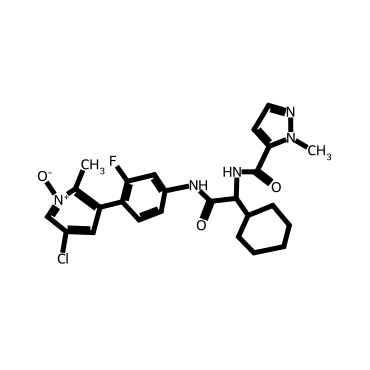 Cc1c(-c2ccc(NC(=O)C(NC(=O)c3ccnn3C)C3CCCCC3)cc2F)cc(Cl)c[n+]1[O-]